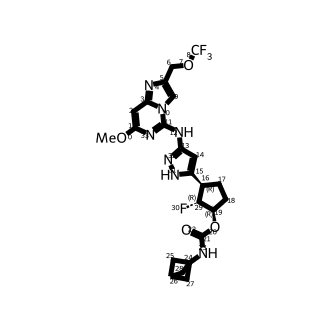 COc1cc2nc(COC(F)(F)F)cn2c(Nc2cc([C@H]3CC[C@@H](OC(=O)NC45CC(C4)C5)[C@@H]3F)[nH]n2)n1